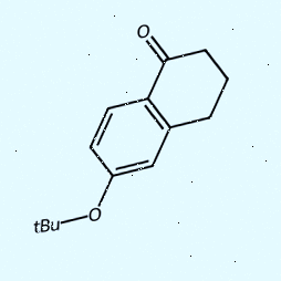 CC(C)(C)Oc1ccc2c(c1)CCCC2=O